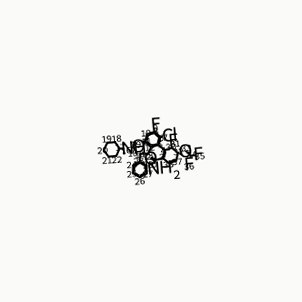 NC(=O)C1=C(c2c(Cl)c(F)cc3c2C[C@@](CNC2CCCCC2)(c2ccccc2)O3)C(F)C(OC(F)F)C=C1